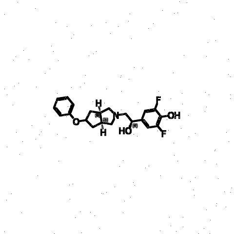 Oc1c(F)cc([C@@H](O)CN2C[C@H]3CC(Oc4ccccc4)C[C@H]3C2)cc1F